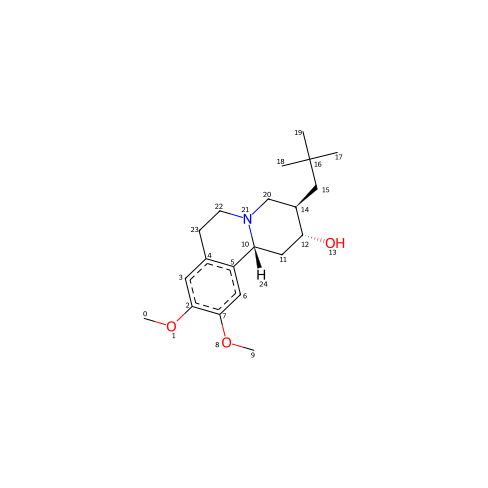 COc1cc2c(cc1OC)[C@H]1C[C@@H](O)[C@H](CC(C)(C)C)CN1CC2